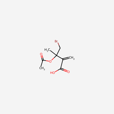 C=C(C(=O)O)C(C)(CBr)OC(C)=O